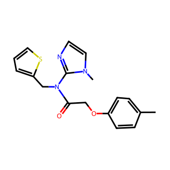 Cc1ccc(OCC(=O)N(Cc2cccs2)c2nccn2C)cc1